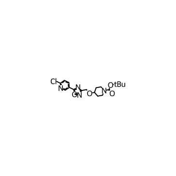 CC(C)(C)OC(=O)N1CCC(OCc2noc(-c3ccc(Cl)nc3)n2)CC1